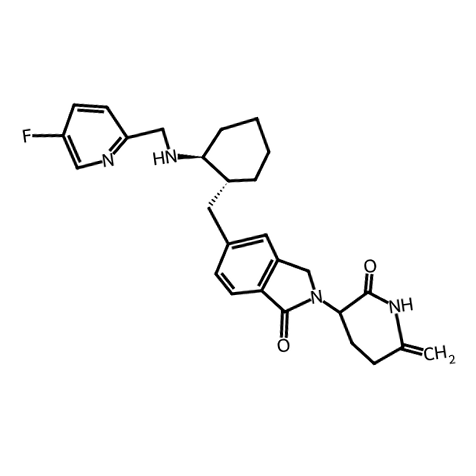 C=C1CCC(N2Cc3cc(C[C@H]4CCCC[C@@H]4NCc4ccc(F)cn4)ccc3C2=O)C(=O)N1